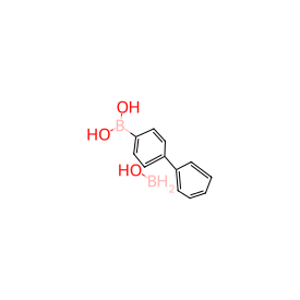 BO.OB(O)c1ccc(-c2ccccc2)cc1